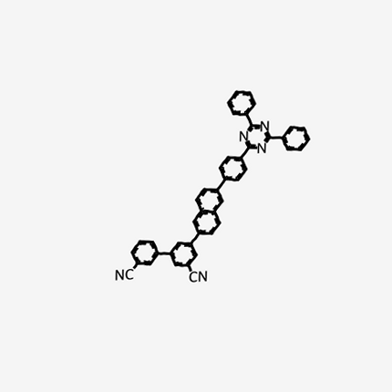 N#Cc1cccc(-c2cc(C#N)cc(-c3ccc4cc(-c5ccc(-c6nc(-c7ccccc7)nc(-c7ccccc7)n6)cc5)ccc4c3)c2)c1